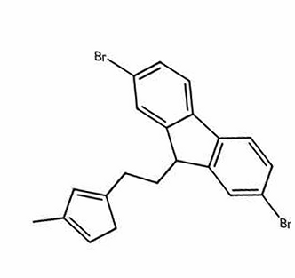 CC1=CCC(CCC2c3cc(Br)ccc3-c3ccc(Br)cc32)=C1